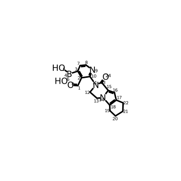 O=Cc1c(B(O)O)ccnc1N1CCn2c(cc3c2CCCC3)C1=O